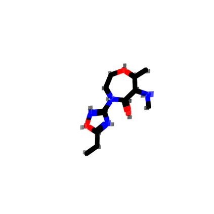 CCc1nc(N2CCOC(C)C(NC)C2=O)no1